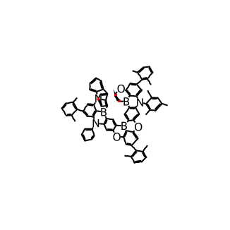 Cc1cc(C)c(N2c3cc4c(cc3B3c5ccccc5Oc5cc(-c6c(C)cccc6C)cc2c53)B2c3cc5c(cc3Oc3cc(-c6c(C)cccc6C)cc(c32)O4)N(c2ccccc2)c2cc(-c3c(C)cccc3C)cc3c2B5c2cccc4c5ccccc5n-3c24)c(C)c1